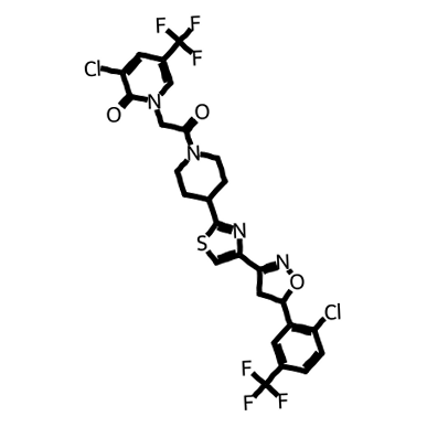 O=C(Cn1cc(C(F)(F)F)cc(Cl)c1=O)N1CCC(c2nc(C3=NOC(c4cc(C(F)(F)F)ccc4Cl)C3)cs2)CC1